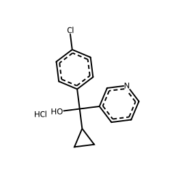 Cl.OC(c1ccc(Cl)cc1)(c1cccnc1)C1CC1